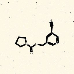 N#Cc1cccc(COC(=O)N2CCCC2)c1